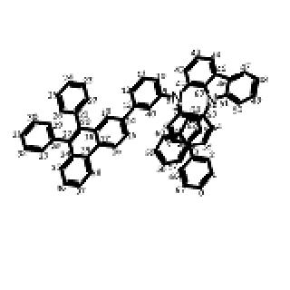 c1ccc(-c2ccc(N(c3cccc(-c4ccc5c(c4)c(-c4ccccc4)c(-c4ccccc4)c4ccccc45)c3)c3cccc4c5ccccc5n(-c5ccc6ccccc6c5)c34)cc2)cc1